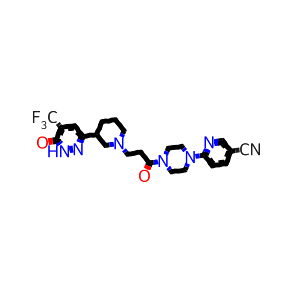 N#Cc1ccc(N2CCN(C(=O)CCN3CCCC(c4cc(C(F)(F)F)c(=O)[nH]n4)C3)CC2)nc1